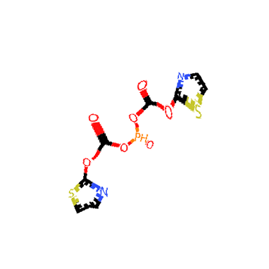 O=C(Oc1nccs1)O[PH](=O)OC(=O)Oc1nccs1